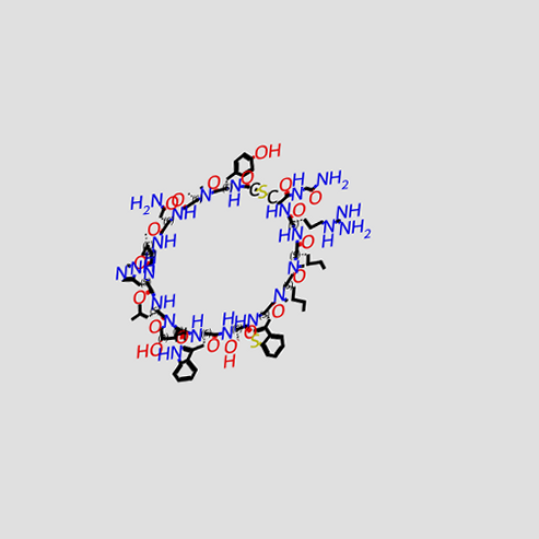 CCCC[C@H]1C(=O)N(C)[C@@H](CCCC)C(=O)N[C@@H](CCCNC(=N)N)C(=O)NC(C(=O)NCC(N)=O)CSCC(=O)N[C@@H](Cc2ccc(O)cc2)C(=O)N(C)[C@@H](C)C(=O)N[C@@H](CC(N)=O)C(=O)N[C@]2(C[C@@H]2C)C(=O)N[C@@H](Cc2cnc[nH]2)C(=O)N[C@@H](CC(C)C)C(=O)N2C[C@H](O)C[C@H]2C(=O)N[C@@H](Cc2c[nH]c3ccccc23)C(=O)N[C@@H](CO)C(=O)N[C@@H](Cc2csc3ccccc23)C(=O)N1C